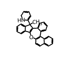 CC1(C2=CC=CCN2)C2=C(Oc3ccc4ccccc4c3-c3ccccc32)c2ccccc21